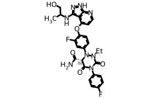 CCN1C(=O)N(c2ccc(F)cc2)C(=O)[C@H](C(N)=O)N1c1ccc(Oc2ccnc3[nH]nc(NC(C)CO)c23)c(F)c1